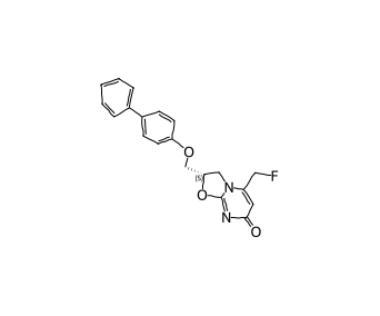 O=c1cc(CF)n2c(n1)O[C@H](COc1ccc(-c3ccccc3)cc1)C2